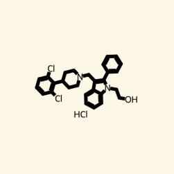 Cl.OCCn1c(-c2ccccc2)c(CN2CCC(c3c(Cl)cccc3Cl)CC2)c2ccccc21